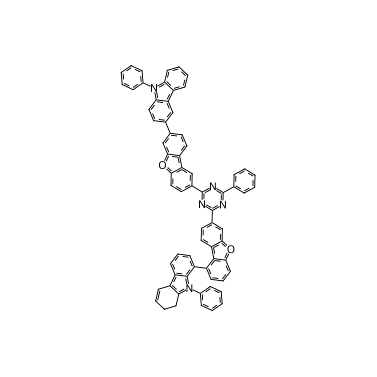 C1=Cc2c(n(-c3ccccc3)c3c(-c4cccc5oc6cc(-c7nc(-c8ccccc8)nc(-c8ccc9oc%10cc(-c%11ccc%12c(c%11)c%11ccccc%11n%12-c%11ccccc%11)ccc%10c9c8)n7)ccc6c45)cccc23)CC1